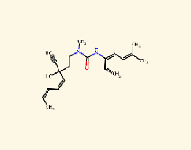 C#CC(C)(/C=C\C=C/C)CCN(C)C(=O)N/C(C=C)=C/C=C(C)C